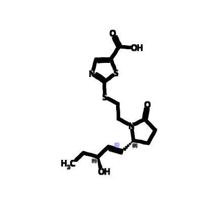 CC[C@H](O)/C=C/[C@H]1CCC(=O)N1CCSc1ncc(C(=O)O)s1